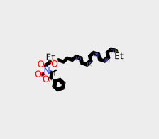 CC/C=C\C/C=C\C/C=C\C/C=C\C/C=C\CCCCOC(CC)C(=O)N1C(=O)O[C@H](c2ccccc2)[C@@H]1C